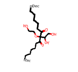 CCCCCCCCCCCCCCCC(=O)C(OCCO)(C(=O)CCCCCCCCCCCCCCC)C(O)CO